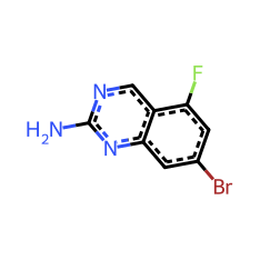 Nc1ncc2c(F)cc(Br)cc2n1